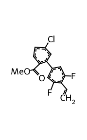 C=Cc1c(F)cc(-c2cc(Cl)ccc2C(=O)OC)cc1F